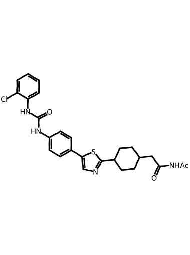 CC(=O)NC(=O)CC1CCC(c2ncc(-c3ccc(NC(=O)Nc4ccccc4Cl)cc3)s2)CC1